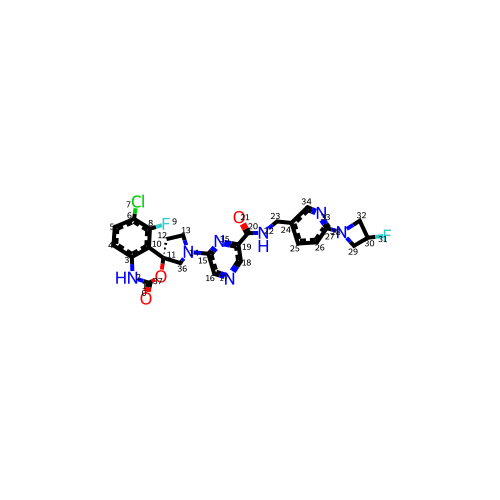 O=C1Nc2ccc(Cl)c(F)c2[C@]2(CCN(c3cncc(C(=O)NCc4ccc(N5CC(F)C5)nc4)n3)C2)O1